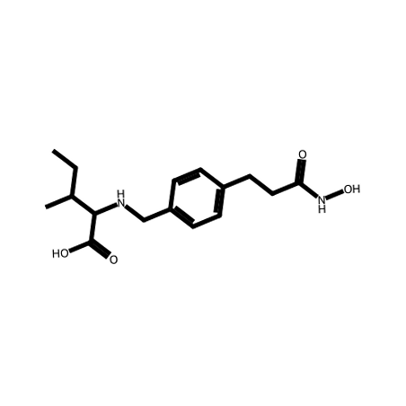 CCC(C)C(NCc1ccc(CCC(=O)NO)cc1)C(=O)O